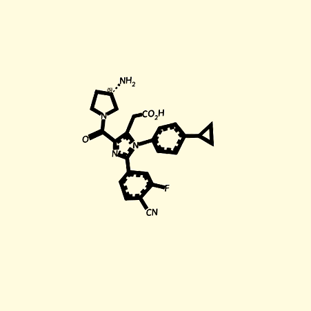 N#Cc1ccc(-c2nc(C(=O)N3CC[C@H](N)C3)c(CC(=O)O)n2-c2ccc(C3CC3)cc2)cc1F